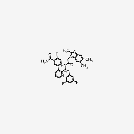 Cc1cc2nc(C(F)(F)F)n(CC(=O)N[C@@H](Cc3cc(F)cc(F)c3)c3ncccc3-c3ccc(F)c(C(N)=O)c3)c2cc1C